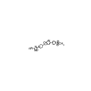 CCCc1noc(N2CCC(C3Cc4cc(-c5ccc(S(C)(=O)=O)cc5)ncc4O3)CC2)n1